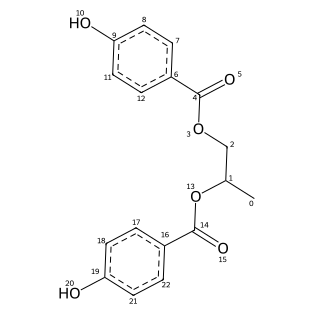 CC(COC(=O)c1ccc(O)cc1)OC(=O)c1ccc(O)cc1